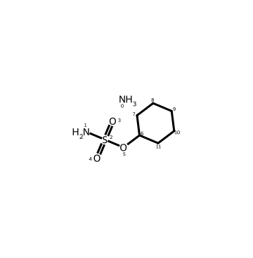 N.NS(=O)(=O)OC1CCCCC1